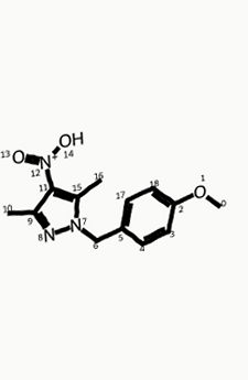 COc1ccc(Cn2nc(C)c([N+](=O)O)c2C)cc1